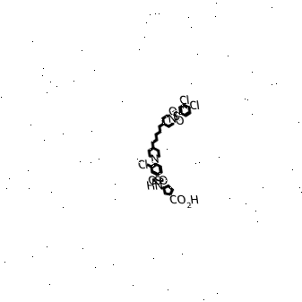 O=C(O)C1CCC(NS(=O)(=O)c2ccc(N3CCC(CCCCCC4CCN(S(=O)(=O)c5ccc(Cl)c(Cl)c5)CC4)CC3)c(Cl)c2)C1